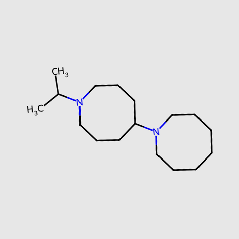 CC(C)N1CCCC(N2CCCCCCC2)CCC1